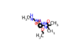 CCCOc1ccc(S(=O)(=O)NCCNCC)cc1-c1nc(CC)c(CC)c(=O)[nH]1